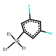 C[CH2][Sn]([CH2]C)([CH2]C)[c]1cc(F)cc(F)c1